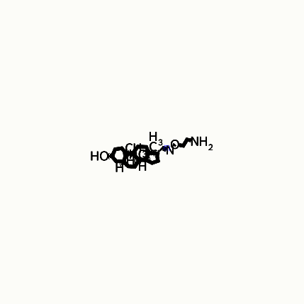 C[C@]12CC[C@H](O)C[C@H]1CC[C@@H]1[C@@H]2CC[C@]2(C)[C@@H](/C=N/OCCN)CC[C@]12O